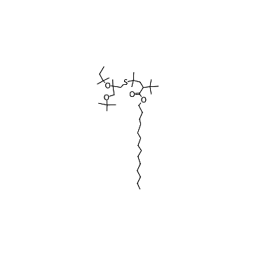 CCCCCCCCCCCCCCOC(=O)C(CC(C)(C)SCC(C)(COC(C)(C)C)OC(C)(C)CC)C(C)(C)C